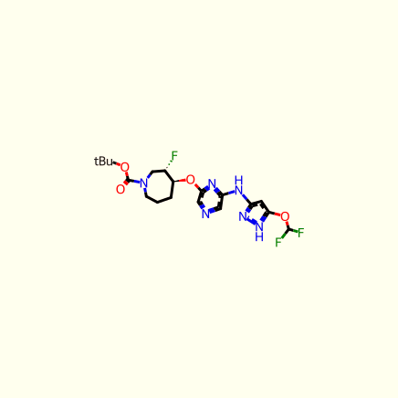 CC(C)(C)OC(=O)N1CCC[C@H](Oc2cncc(Nc3cc(OC(F)F)[nH]n3)n2)[C@@H](F)C1